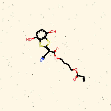 C=CC(=O)OCCCCOC(=O)C(C#N)=C1Sc2c(O)ccc(O)c2S1